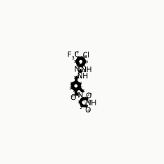 O=C1CCC(N2Cc3cc(CNc4nc5cc(C(F)(F)F)c(Cl)cc5[nH]4)ccc3C2=O)C(=O)N1